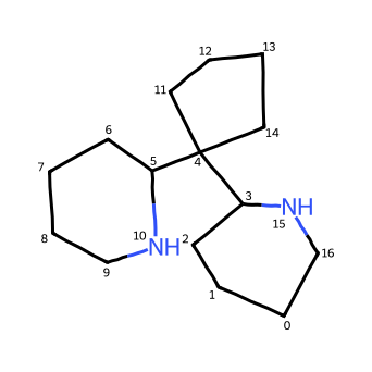 C1CCC(C2(C3CCCCN3)CCCC2)NC1